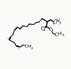 CC/C=C\C/C=C\C/C=C\CCCCCCCCC(CC)C(=O)OCC